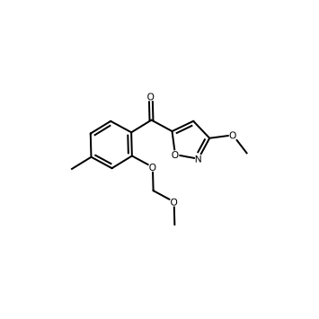 COCOc1cc(C)ccc1C(=O)c1cc(OC)no1